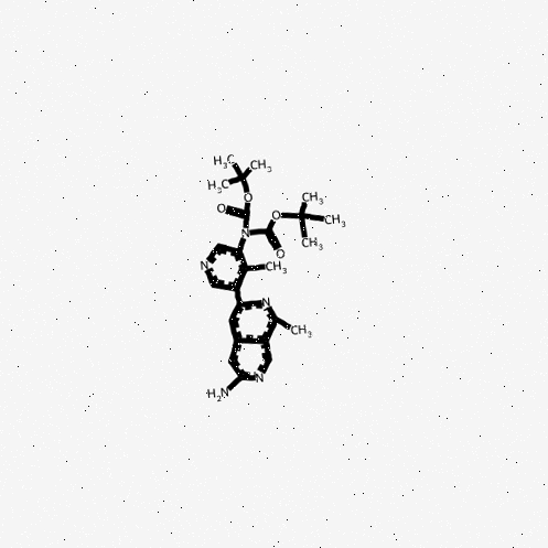 Cc1c(-c2cc3cc(N)ncc3c(C)n2)cncc1N(C(=O)OC(C)(C)C)C(=O)OC(C)(C)C